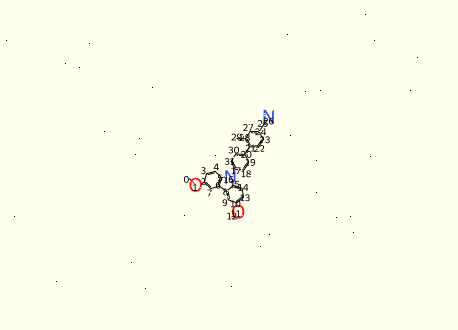 COc1ccc2c(c1)c1cc(OC)ccc1n2-c1ccc(-c2ccc(C#N)cc2C)cc1